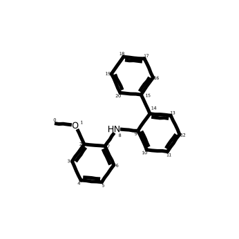 COc1ccccc1Nc1ccccc1-c1ccccc1